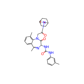 CC1=NC(NC(=O)Nc2cccc(C)c2)C(=O)N(CC(=O)N2CC3CCC(CC3)C2)c2c(C)cccc21